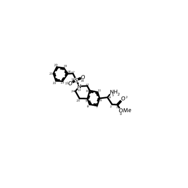 COC(=O)CC(N)c1ccc2c(c1)CN(S(=O)(=O)Cc1ccccc1)CC2